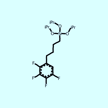 CC(C)O[Si](CCCCc1cc(F)c(F)c(F)c1F)(OC(C)C)OC(C)C